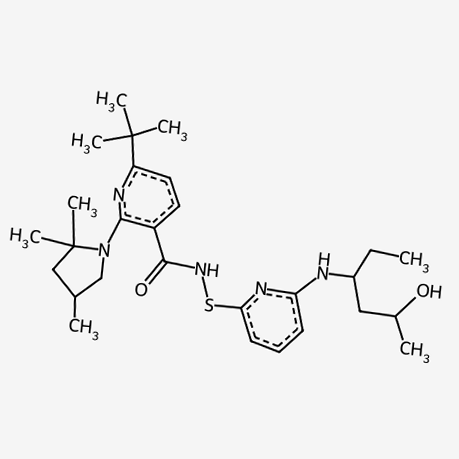 CCC(CC(C)O)Nc1cccc(SNC(=O)c2ccc(C(C)(C)C)nc2N2CC(C)CC2(C)C)n1